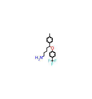 Cc1ccc(C(CCCCN)Oc2ccc(C(F)(F)F)cc2)cc1